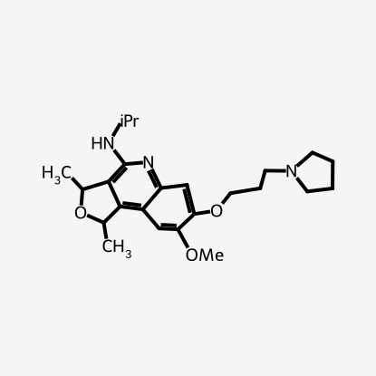 COc1cc2c3c(c(NC(C)C)nc2cc1OCCCN1CCCC1)C(C)OC3C